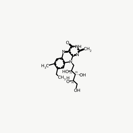 C=c1nc2c(c(=O)[nH]1)=Nc1cc(C)c(CC)cc1N2C[C@H](O)[C@H](O)[C@H](O)CO